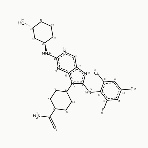 NC(=O)C1CCC(n2c(Nc3c(F)cc(F)cc3Cl)nc3cnc(N[C@@H]4CCC[C@@H](O)C4)nc32)CC1